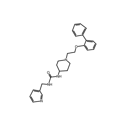 O=C(NCc1cccnc1)NC1CCN(CCOc2ccccc2-c2ccccc2)CC1